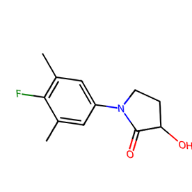 Cc1cc(N2CCC(O)C2=O)cc(C)c1F